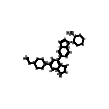 C[C@@H]1CCCC[C@@H]1n1cnc2cc(-c3nc(N4CCC(CO)CC4)nc4[nH]cnc34)ccc21